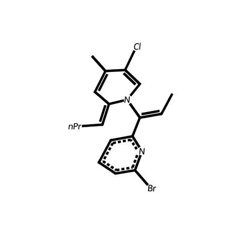 C/C=C(/c1cccc(Br)n1)N1C=C(Cl)C(C)=C/C1=C\CCC